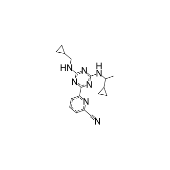 CC(Nc1nc(NCC2CC2)nc(-c2cccc(C#N)n2)n1)C1CC1